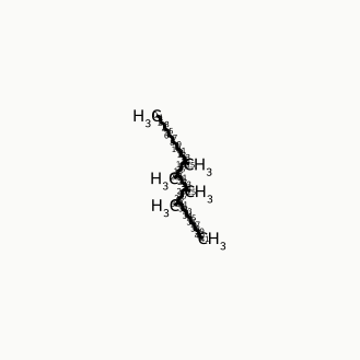 CCCCCCCCCCCCCCC(C)CCCC(C)CCCC(C)CCCC(C)CCCCCCCCCCC